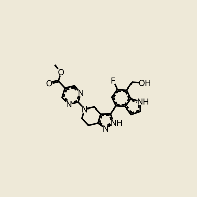 COC(=O)c1cnc(N2CCc3n[nH]c(-c4cc(F)c(CO)c5[nH]ccc45)c3C2)nc1